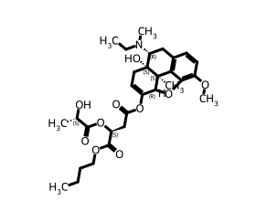 CCCCOC(=O)[C@H](CC(=O)OC1=CC[C@@]2(O)[C@H](N(C)CC)Cc3ccc(OC)c4c3[C@@]2(C)[C@H]1O4)OC(=O)[C@H](C)O